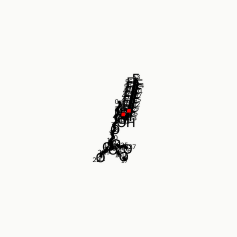 CCCN(CC(O)COCCC[Si](OCCOC)(OCCOC)OCCOC)S(=O)(=O)C(F)(F)C(F)(F)C(F)(F)C(F)(F)C(F)(F)C(F)(F)C(F)(F)C(F)(F)F